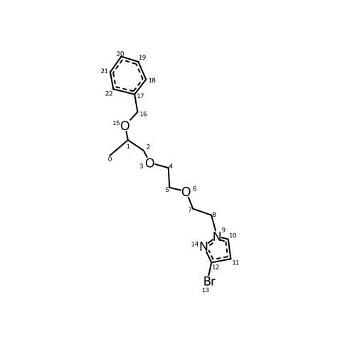 CC(COCCOCCn1ccc(Br)n1)OCc1ccccc1